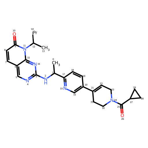 CC(Nc1ncc2ccc(=O)n(C(C)C(C)C)c2n1)c1ccc(C2=CCN(C(=O)C3CC3)CC2)cn1